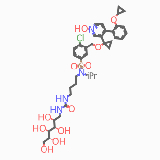 CC(C)N(CCCCNC(=O)NC[C@H](O)[C@@H](O)[C@H](O)[C@H](O)CO)S(=O)(=O)c1ccc(Cl)c(COC2(c3c[n+](O)ccc3-c3ccccc3OC3CC3)CC2)c1